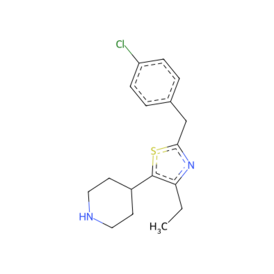 CCc1nc(Cc2ccc(Cl)cc2)sc1C1CCNCC1